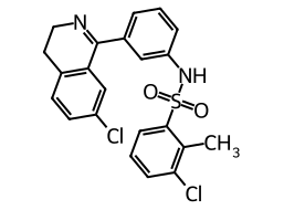 Cc1c(Cl)cccc1S(=O)(=O)Nc1cccc(C2=NCCc3ccc(Cl)cc32)c1